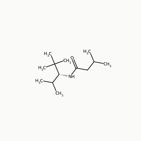 CC(C)CC(=O)N[C@H](C(C)C)C(C)(C)C